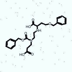 O=C(O)CCN(CCNC(CCOCc1ccccc1)C(=O)O)C(=O)OCc1ccccc1